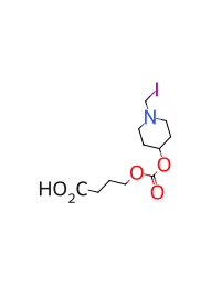 O=C(O)CCCOC(=O)OC1CCN(CI)CC1